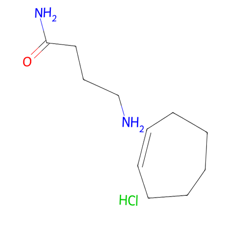 C1=CCCCCC1.Cl.NCCCC(N)=O